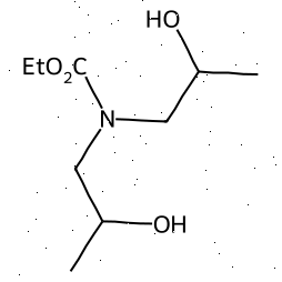 [CH2]COC(=O)N(CC(C)O)CC(C)O